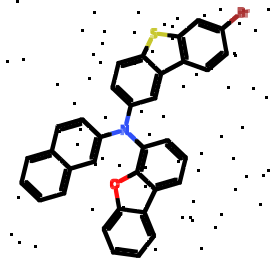 Brc1ccc2c(c1)sc1ccc(N(c3ccc4ccccc4c3)c3cccc4c3oc3ccccc34)cc12